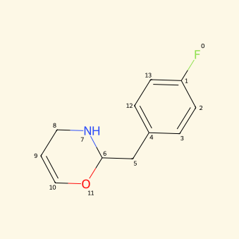 Fc1ccc(CC2NCC=CO2)cc1